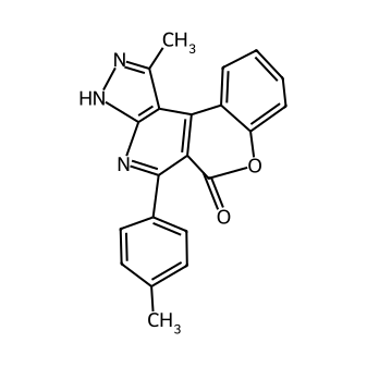 Cc1ccc(-c2nc3[nH]nc(C)c3c3c2c(=O)oc2ccccc23)cc1